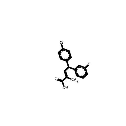 CC(=CC(c1ccc(Cl)cc1)c1cccc(F)c1)C(=O)O